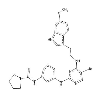 COc1ccc2c(CCNc3nc(Nc4cccc(NC(=O)N5CCCC5)c4)ncc3Br)c[nH]c2c1